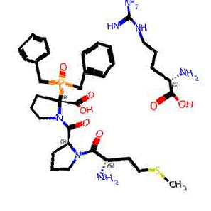 CSCC[C@H](N)C(=O)N1CCC[C@H]1C(=O)N1CCC[C@]1(C(=O)O)P(=O)(Cc1ccccc1)Cc1ccccc1.N=C(N)NCCC[C@H](N)C(=O)O